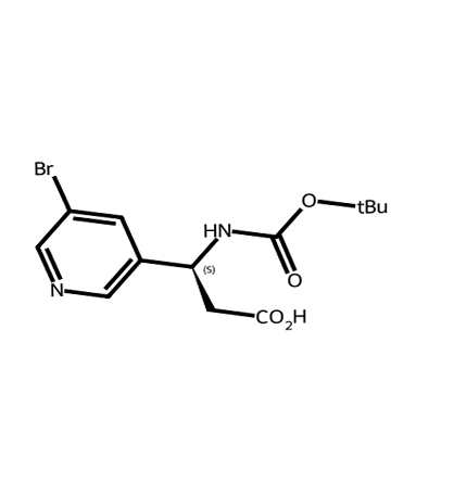 CC(C)(C)OC(=O)N[C@@H](CC(=O)O)c1cncc(Br)c1